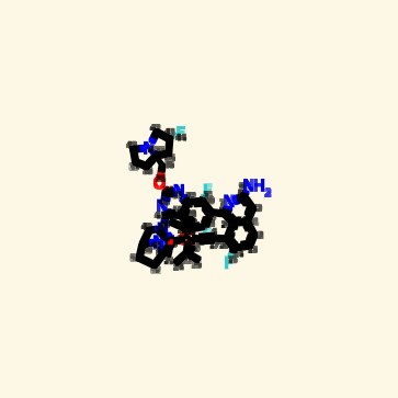 COc1c(F)c(-c2nc(N)cc3ccc(F)c(C#C[Si](C(C)C)(C(C)C)C(C)C)c23)c(F)c2nc(OC[C@@]34CCCN3C[C@H](F)C4)nc(N3CC4CCC(C3)N4)c12